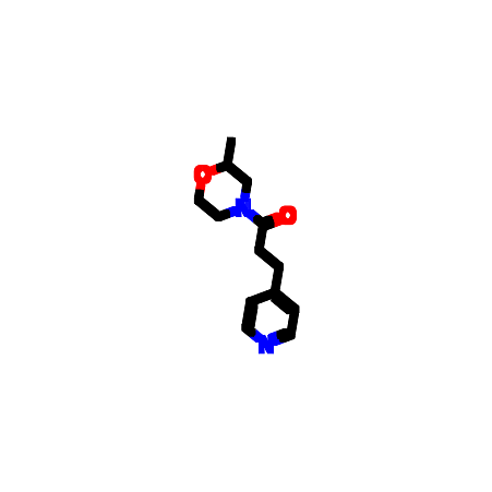 CC1CN(C(=O)CCc2ccncc2)CCO1